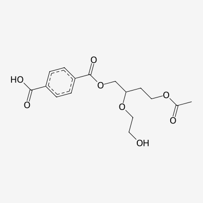 CC(=O)OCCC(COC(=O)c1ccc(C(=O)O)cc1)OCCO